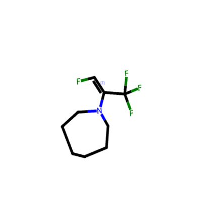 F/C=C(\N1CCCCCC1)C(F)(F)F